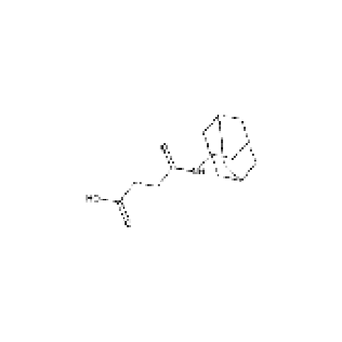 O=C(O)CCC(=O)NC12CC3CC(CC(C3)C1)C2